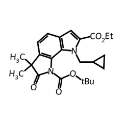 CCOC(=O)c1cc2ccc3c(c2n1CC1CC1)N(C(=O)OC(C)(C)C)C(=O)C3(C)C